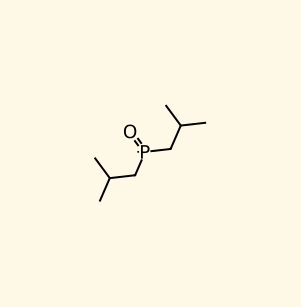 CC(C)C[P](=O)CC(C)C